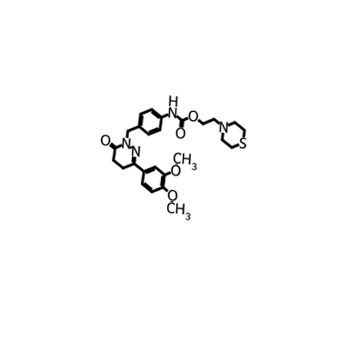 COc1ccc(C2=NN(Cc3ccc(NC(=O)OCCN4CCSCC4)cc3)C(=O)CC2)cc1OC